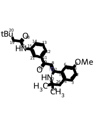 COc1ccc2c(c1)/C(=C/C(=O)c1cccc(NC(=O)CC(C)(C)C)c1)NC(C)(C)C2